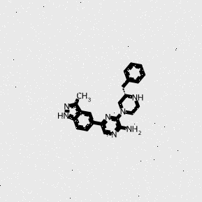 Cc1n[nH]c2ccc(-c3cnc(N)c(N4CCN[C@@H](Cc5ccccc5)C4)n3)cc12